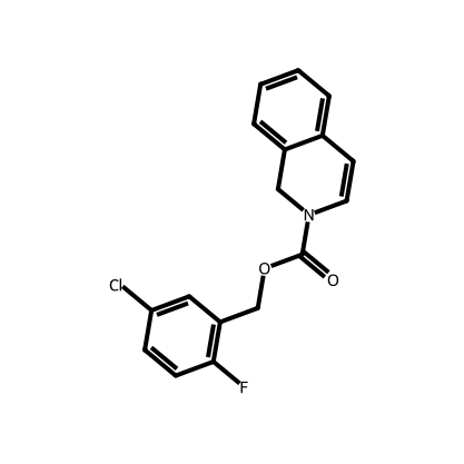 O=C(OCc1cc(Cl)ccc1F)N1C=Cc2ccccc2C1